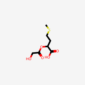 CSCCC(OC(=O)CO)C(=O)O